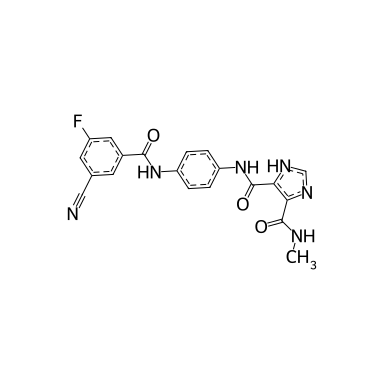 CNC(=O)c1nc[nH]c1C(=O)Nc1ccc(NC(=O)c2cc(F)cc(C#N)c2)cc1